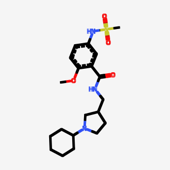 COc1ccc(NS(C)(=O)=O)cc1C(=O)NCC1CCN(C2CCCCC2)C1